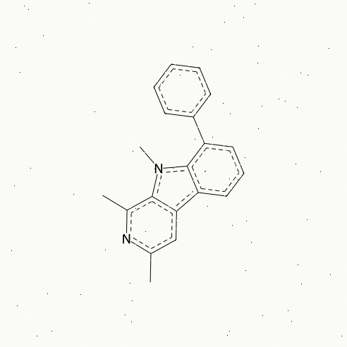 Cc1cc2c3cccc(-c4ccccc4)c3n(C)c2c(C)n1